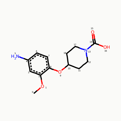 COc1cc(N)ccc1OC1CCN(C(=O)O)CC1